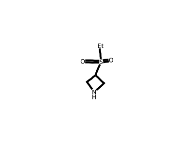 CCS(=O)(=O)C1CNC1